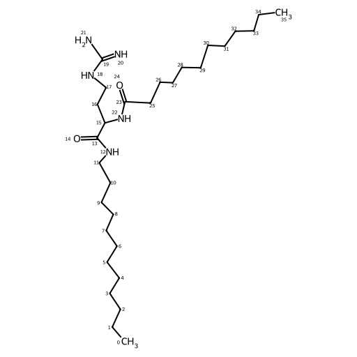 CCCCCCCCCCCCNC(=O)C(CCNC(=N)N)NC(=O)CCCCCCCCCCC